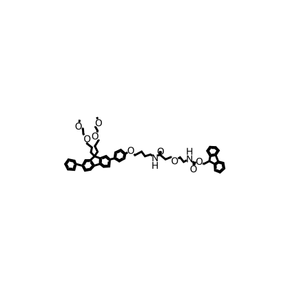 COCCOCCCC1(CCCOCCOC)c2cc(-c3ccccc3)ccc2-c2ccc(-c3ccc(OCCCCNC(=O)CCOCCNC(=O)OCC4c5ccccc5-c5ccccc54)cc3)cc21